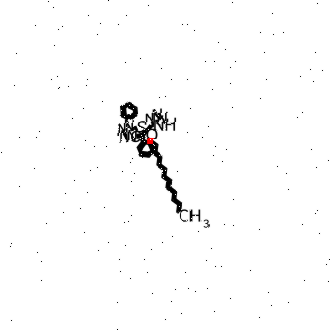 CCCCCCCCCCCCCCOC(Sc1nnnn1-c1ccccc1)(C(=O)c1ccccc1)c1nnn[nH]1